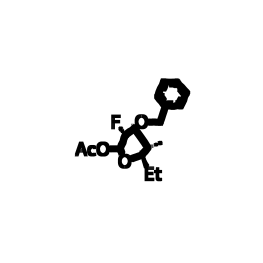 CC[C@H]1OC(OC(C)=O)[C@H](F)[C@@H](OCc2ccccc2)[C@@H]1C